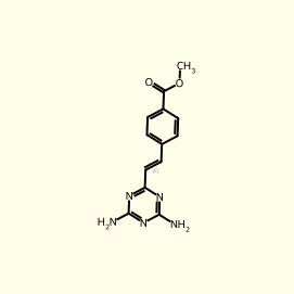 COC(=O)c1ccc(/C=C/c2nc(N)nc(N)n2)cc1